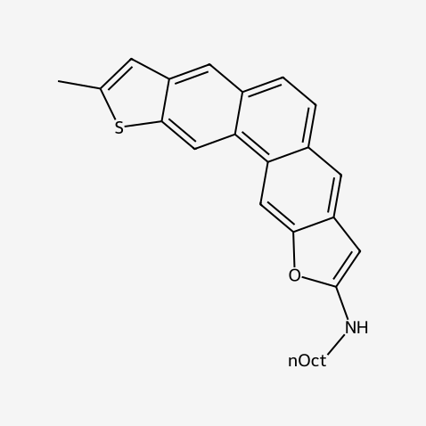 CCCCCCCCNc1cc2cc3ccc4cc5cc(C)sc5cc4c3cc2o1